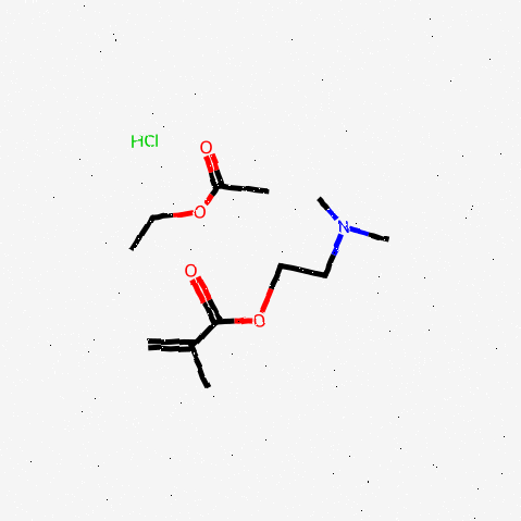 C=C(C)C(=O)OCCN(C)C.CCOC(C)=O.Cl